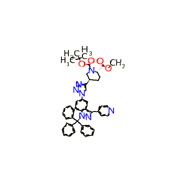 COC(=O)[C@@H]1CC[C@@H](c2cn(-c3ccc4c(c3)c(-c3ccncc3)nn4C(c3ccccc3)(c3ccccc3)c3ccccc3)nn2)CN1C(=O)OC(C)(C)C